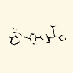 NC(=O)C(c1cnc(-c2ccc(NCC3(c4ncccc4F)CCC3)nn2)s1)[C@@H]1CCN1